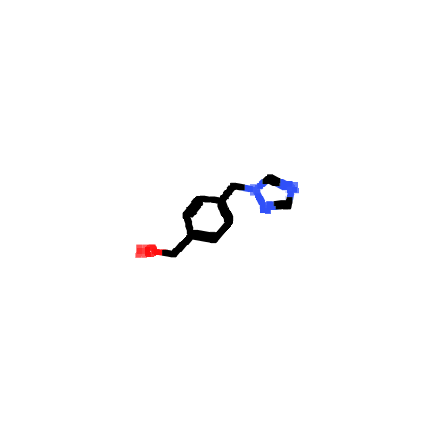 OCc1ccc(Cn2cncn2)cc1